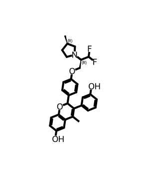 CC1=C(c2cccc(O)c2)C(c2ccc(OC[C@H](C(F)F)N3CC[C@@H](C)C3)cc2)Oc2ccc(O)cc21